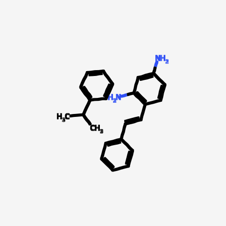 CC(C)c1ccccc1.Nc1ccc(C=Cc2ccccc2)c(N)c1